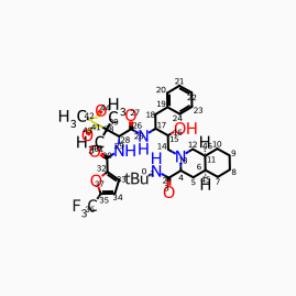 CC(C)(C)NC(=O)C1C[C@@H]2CCCC[C@@H]2CN1CC(O)C(Cc1ccccc1)NC(=O)[C@@H](NC(=O)c1ccc(C(F)(F)F)o1)C(C)(C)S(C)(=O)=O